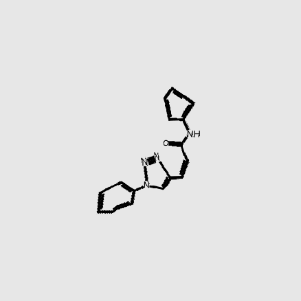 O=C(/C=C\c1cn(-c2ccccc2)nn1)Nc1ccccc1